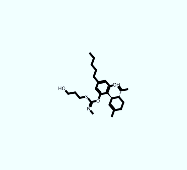 C=C(C)[C@@H]1CCC(C)=C[C@H]1c1c(O)cc(CCCCC)cc1O/C(=N\C)SCCCO